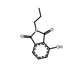 CCCN1C(=O)c2cccc(O)c2C1=O